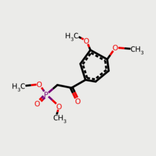 COc1ccc(C(=O)CP(=O)(OC)OC)cc1OC